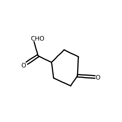 O=CC(=O)C1CCC(=O)CC1